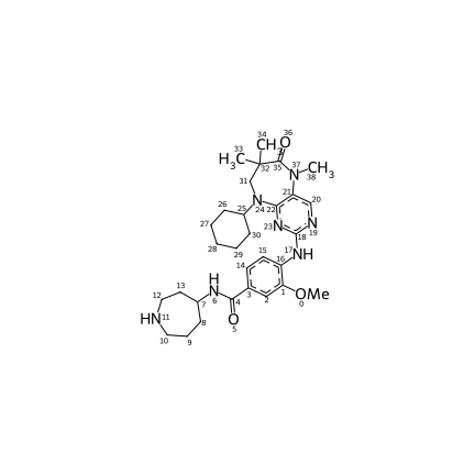 COc1cc(C(=O)NC2CCCNCC2)ccc1Nc1ncc2c(n1)N(C1CCCCC1)CC(C)(C)C(=O)N2C